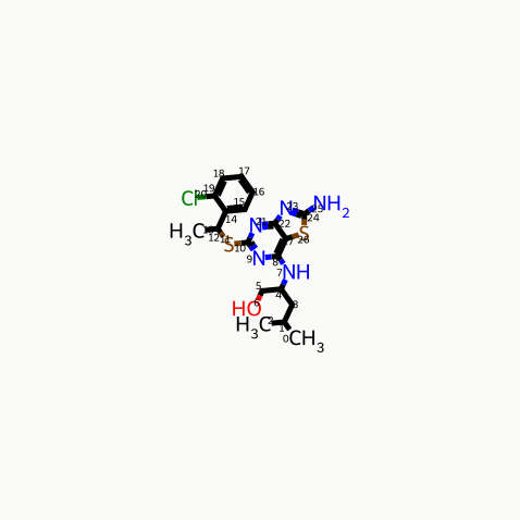 CC(C)CC(CO)Nc1nc(SC(C)c2ccccc2Cl)nc2nc(N)sc12